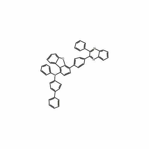 c1ccc(-c2ccc(N(c3ccccc3)c3ccc(-c4ccc(-c5nc6ccccc6nc5-c5ccccc5)cc4)c4oc5ccccc5c34)cc2)cc1